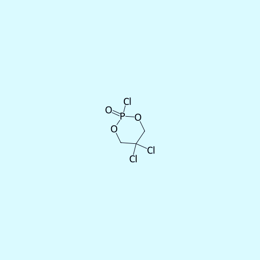 O=P1(Cl)OCC(Cl)(Cl)CO1